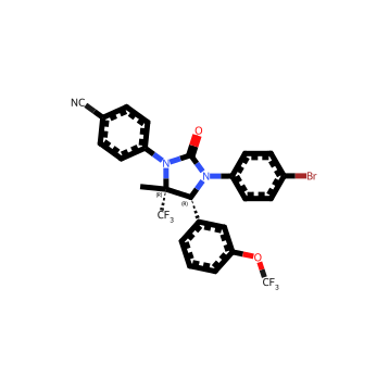 C[C@]1(C(F)(F)F)[C@@H](c2cccc(OC(F)(F)F)c2)N(c2ccc(Br)cc2)C(=O)N1c1ccc(C#N)cc1